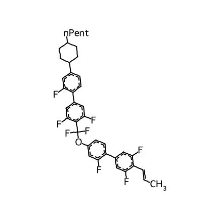 C/C=C/c1c(F)cc(-c2ccc(OC(F)(F)c3c(F)cc(-c4ccc(C5CCC(CCCCC)CC5)cc4F)cc3F)cc2F)cc1F